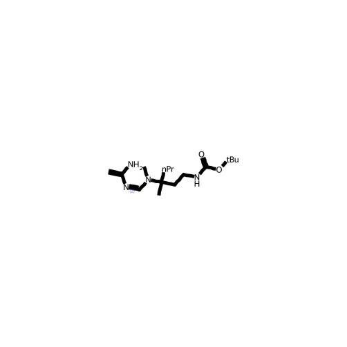 C=C(N)/N=C\N(C)C(C)(CCC)CCNC(=O)OC(C)(C)C